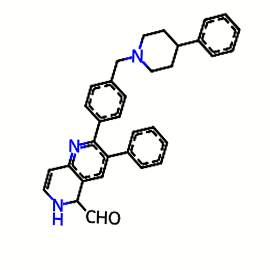 O=CC1NC=Cc2nc(-c3ccc(CN4CCC(c5ccccc5)CC4)cc3)c(-c3ccccc3)cc21